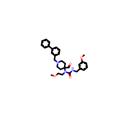 COCCN(C(=O)NCc1cccc(OC)c1)C1(C=O)CCN(Cc2cccc(-c3ccccc3)c2)CC1